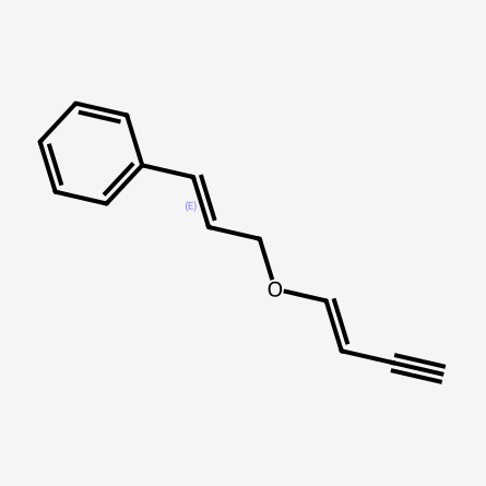 C#CC=COC/C=C/c1ccccc1